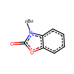 [CH2]CCCn1c(=O)oc2ccccc21